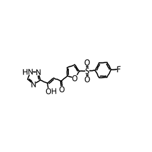 O=C(C=C(O)c1nc[nH]n1)c1ccc(S(=O)(=O)c2ccc(F)cc2)o1